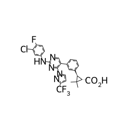 CC1(C)[C@@H](C(=O)O)[C@@H]1c1cccc(-c2cnc(Nc3ccc(F)c(Cl)c3)nc2-n2ccc(C(F)(F)F)n2)c1